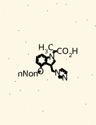 CCCCCCCCCOc1cccc2c1C(Cn1ccnc1)CN2C(C)C(=O)O